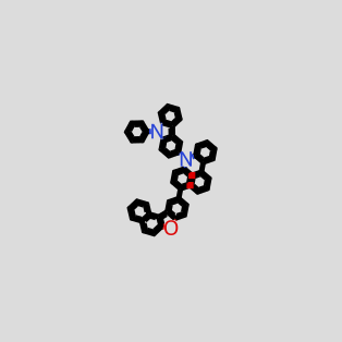 c1ccc(-c2ccccc2N(c2ccc(-c3ccc4oc5ccc6ccccc6c5c4c3)cc2)c2ccc3c(c2)c2ccccc2n3-c2ccccc2)cc1